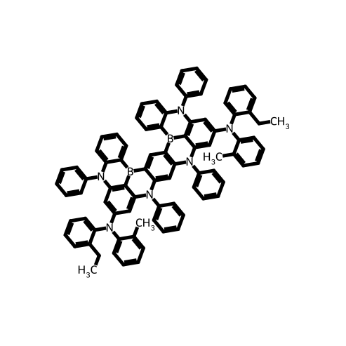 CCc1ccccc1N(c1cc2c3c(c1)N(c1ccccc1)c1cc4c(cc1B3c1ccccc1N2c1ccccc1)B1c2ccccc2N(c2ccccc2)c2cc(N(c3ccccc3C)c3ccccc3CC)cc(c21)N4c1ccccc1)c1ccccc1C